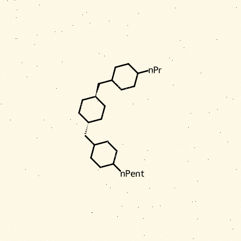 CCCCCC1CCC(C[C@H]2CC[C@H](CC3CCC(CCC)CC3)CC2)CC1